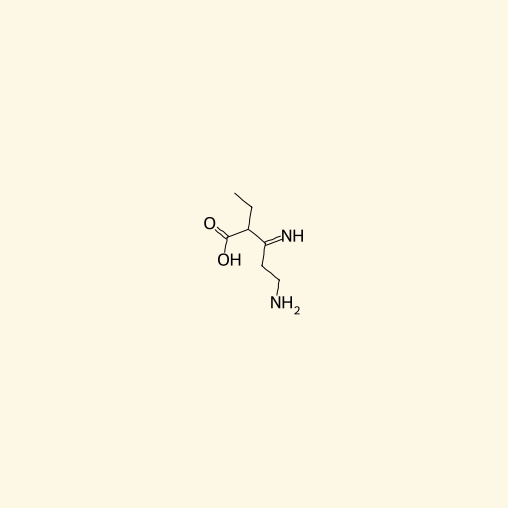 CCC(C(=N)CCN)C(=O)O